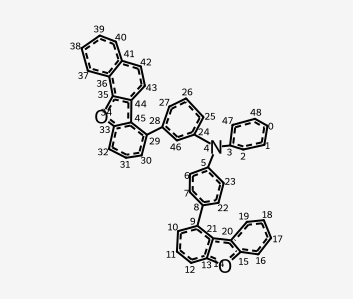 c1ccc(N(c2ccc(-c3cccc4oc5ccccc5c34)cc2)c2cccc(-c3cccc4oc5c6ccccc6ccc5c34)c2)cc1